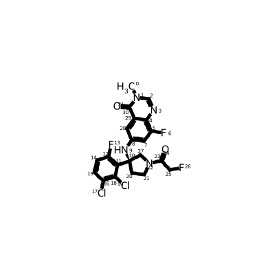 Cn1cnc2c(F)cc(N[C@]3(c4c(F)ccc(Cl)c4Cl)CCN(C(=O)CF)C3)cc2c1=O